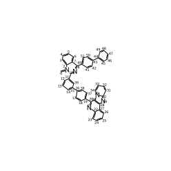 C=Nc1ccccc1/C(=N\Cc1cccc(-c2ccc(-c3nc4ccccc4c4nc5ccccn5c34)cc2)c1)c1ccc(-c2ccccc2)cc1